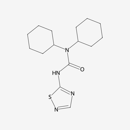 O=C(Nc1ncns1)N(C1CCCCC1)C1CCCCC1